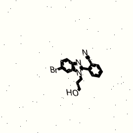 N#Cc1ccccc1-c1nc2ccc(Br)cc2n1CCCO